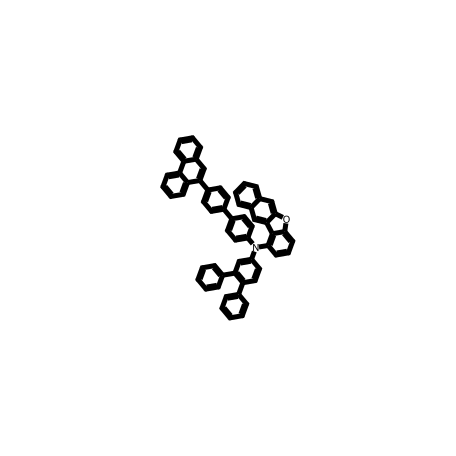 c1ccc(-c2ccc(N(c3ccc(-c4ccc(-c5cc6ccccc6c6ccccc56)cc4)cc3)c3cccc4oc5cc6ccccc6cc5c34)cc2-c2ccccc2)cc1